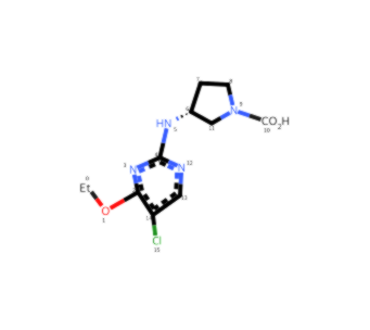 CCOc1nc(N[C@@H]2CCN(C(=O)O)C2)ncc1Cl